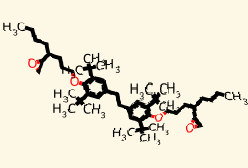 CCCCC(CCCOc1c(C(C)(C)C)cc(CCc2cc(C(C)(C)C)c(OCCCC(CCCC)C3CO3)c(C(C)(C)C)c2)cc1C(C)(C)C)C1CO1